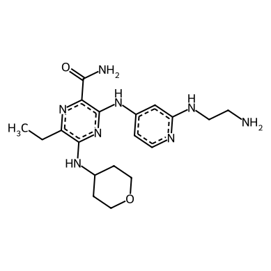 CCc1nc(C(N)=O)c(Nc2ccnc(NCCN)c2)nc1NC1CCOCC1